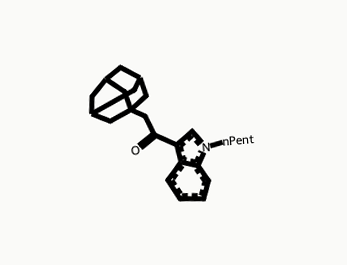 CCCCCn1cc(C(=O)CC23CC4CC(CC(C4)C2)C3)c2ccccc21